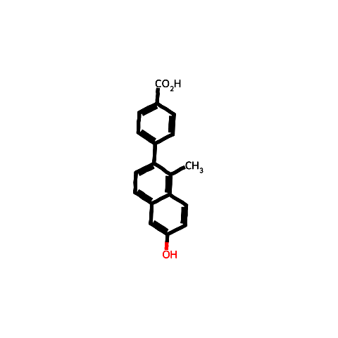 Cc1c(-c2ccc(C(=O)O)cc2)ccc2cc(O)ccc12